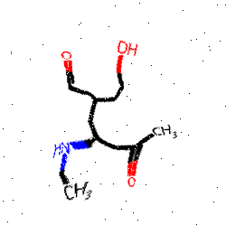 CN[C@H](C(C)=O)C(C=O)CO